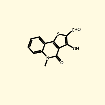 Cn1c(=O)c2c(O)c(C=O)sc2c2ccccc21